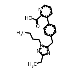 CCCCn1nc(CC)nc1Cc1ccc(-c2cccnc2C(=O)O)cc1